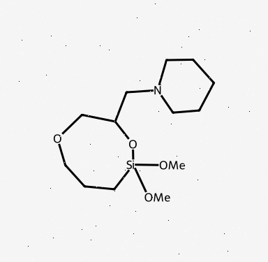 CO[Si]1(OC)CCCOCC(CN2CCCCC2)O1